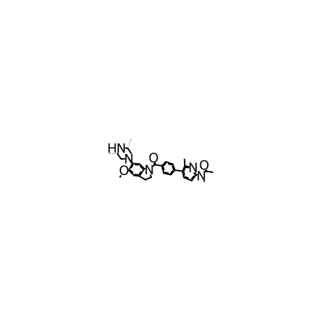 COc1cc2c(cc1N1C[C@@H](C)N[C@@H](C)C1)N(C(=O)c1ccc(-c3ccc(N(C)C(C)=O)nc3C)cc1)CC2